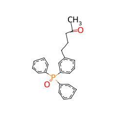 CC(=O)CCCc1cccc(P(=O)(c2ccccc2)c2ccccc2)c1